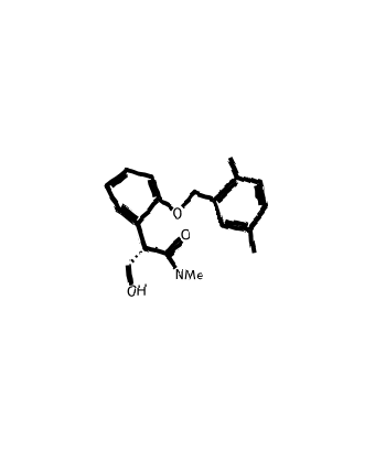 CNC(=O)[C@H](CO)c1ccccc1OCc1cc(C)ccc1C